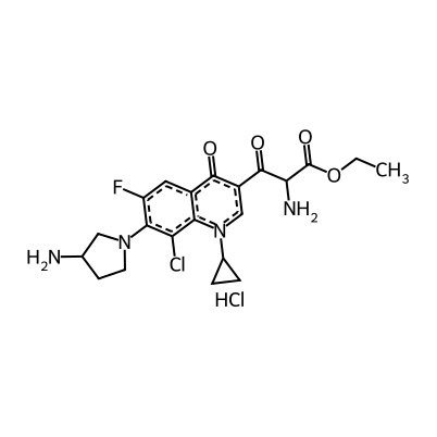 CCOC(=O)C(N)C(=O)c1cn(C2CC2)c2c(Cl)c(N3CCC(N)C3)c(F)cc2c1=O.Cl